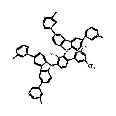 Cc1cccc(-c2ccc3c(c2)c2cc(-c4cccc(C)c4)ccc2n3-c2ccc(-c3cc(C#N)cc(C(F)(F)F)c3)c(-n3c4ccc(-c5cccc(C)c5)cc4c4cc(-c5cccc(C)c5)ccc43)c2C#N)c1